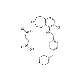 Clc1ccc2c(c1NCc1ccc(CN3CCCCC3)cc1)CCNCC2.O=C(O)CCC(=O)O